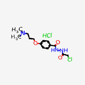 CN(C)CCCOc1ccc(C(=O)NNC(=O)CCl)cc1.Cl